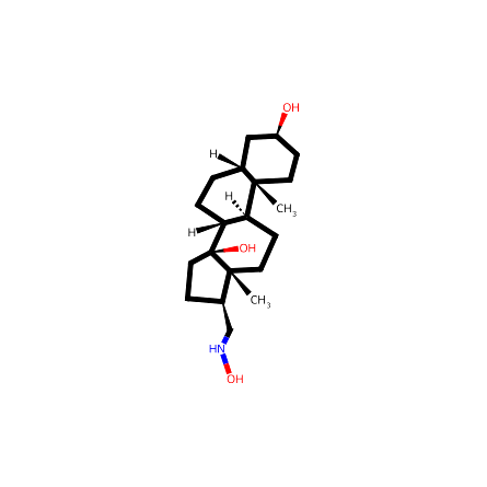 C[C@]12CC[C@H](O)C[C@H]1CC[C@@H]1[C@@H]2CC[C@]2(C)[C@@H](CNO)CC[C@]12O